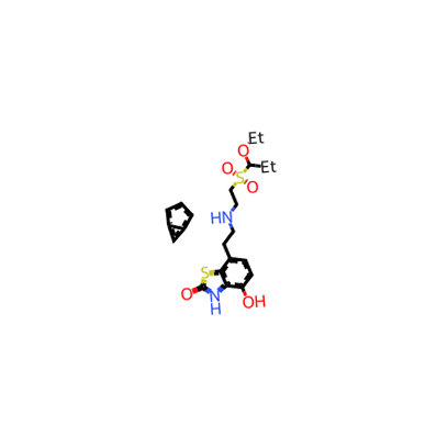 CCOC(CC)S(=O)(=O)CCNCCc1ccc(O)c2[nH]c(=O)sc12.c1cc2cc-2c1